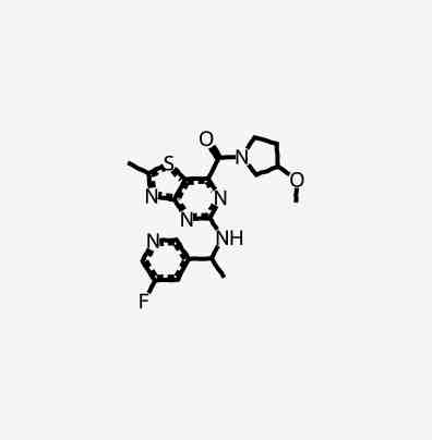 COC1CCN(C(=O)c2nc(NC(C)c3cncc(F)c3)nc3nc(C)sc23)C1